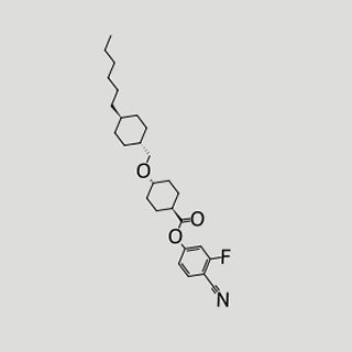 CCCCCC[C@H]1CC[C@H](CO[C@H]2CC[C@H](C(=O)Oc3ccc(C#N)c(F)c3)CC2)CC1